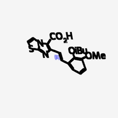 COc1cccc(/C=C/c2nc3sccn3c2C(=O)O)c1OCC(C)C